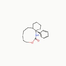 O=C1N[C@@]2(c3ccccc3)CCCCC2CCCCCO1